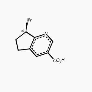 CC(C)[C@@H]1CCc2cc(C(=O)O)cnc21